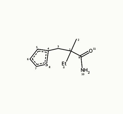 CCC(C)(Cc1cccs1)C(N)=O